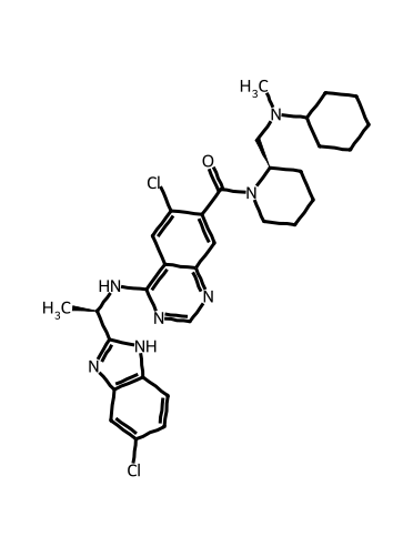 C[C@@H](Nc1ncnc2cc(C(=O)N3CCCC[C@@H]3CN(C)C3CCCCC3)c(Cl)cc12)c1nc2cc(Cl)ccc2[nH]1